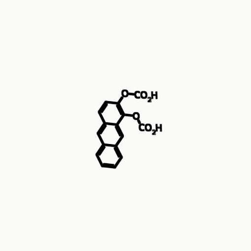 O=C(O)Oc1ccc2cc3ccccc3cc2c1OC(=O)O